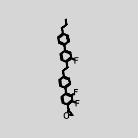 CCCc1ccc(-c2ccc(CCc3ccc(-c4ccc(C5CO5)c(F)c4F)cc3)c(F)c2)cc1